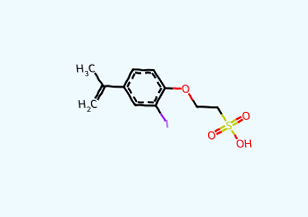 C=C(C)c1ccc(OCCS(=O)(=O)O)c(I)c1